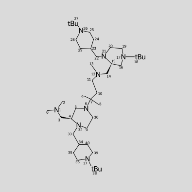 CN(C)C[C@H]1CN(C(C)(C)CCN(C)C[C@@H]2CN(C(C)(C)C)CCN2CC2CCN(C(C)(C)C)CC2)CCN1CC1CCN(C(C)(C)C)CC1